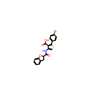 O=C(O)c1c(NC(=O)C2Cc3ccccc3O2)csc1-c1ccc(Br)cc1